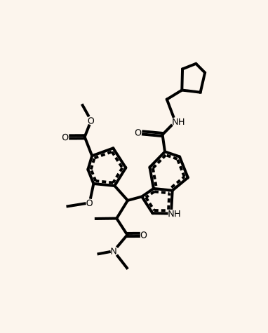 COC(=O)c1ccc(C(c2c[nH]c3ccc(C(=O)NCC4CCCC4)cc23)C(C)C(=O)N(C)C)c(OC)c1